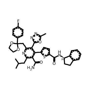 Cc1nnc(-c2c(CC3(c4ccc(F)cc4)OCCO3)nc(CC(C)C)c(C(N)=O)c2-c2ccc(C(=O)N[C@@H]3CCc4ccccc43)s2)o1